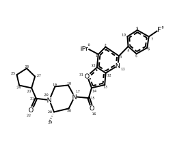 CC(C)c1cc(-c2ccc(F)cc2)nc2cc(C(=O)N3CCN(C(=O)C4CCCC4)[C@@H](C)C3)oc12